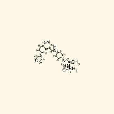 C[C@@H]1CN(c2ccc(NC=C3CN=Cc4ccc(-c5ccoc5)cc43)cc2)C[C@H](C)N1C